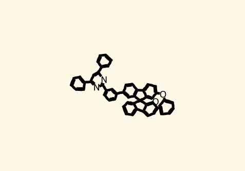 c1ccc(-c2cc(-c3ccccc3)nc(-c3cccc(-c4ccc5c(c4)C4(c6ccccc6-c6ccccc64)c4c-5ccc5c4Oc4ccccc4O5)c3)n2)cc1